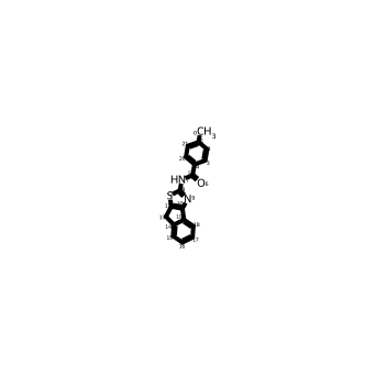 Cc1ccc(C(=O)Nc2nc3c(s2)Cc2ccccc2-3)cc1